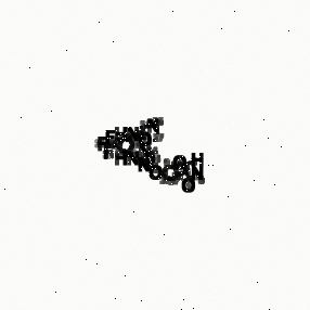 CNC(=O)c1c(C)oc2cc(Oc3ccnc(Nc4cc(NC(=O)CN(C)C)cc(C(F)(F)F)c4)n3)ccc12